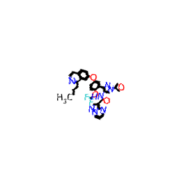 CCCCC1=NCCc2ccc(Oc3ccc(OC(F)F)c(-c4nn(C5COC5)cc4NC(=O)c4cnn5cccnc45)c3)cc21